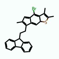 CC1=C(CCC2c3ccccc3-c3ccccc32)C2=CC3SC(C)=C(C)C3=C(Br)C2=C1